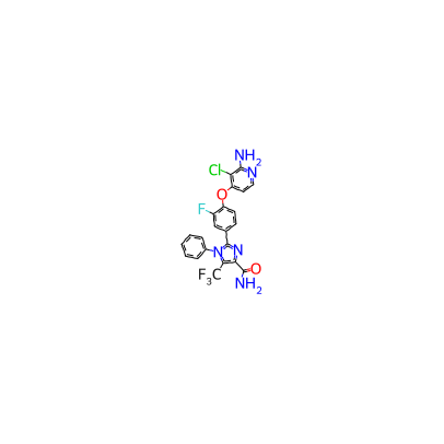 NC(=O)c1nc(-c2ccc(Oc3ccnc(N)c3Cl)c(F)c2)n(-c2ccccc2)c1C(F)(F)F